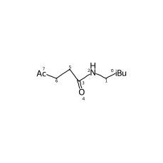 CCC(C)CNC(=O)CCC(C)=O